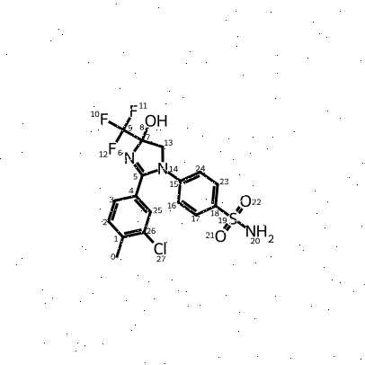 Cc1ccc(C2=NC(O)(C(F)(F)F)CN2c2ccc(S(N)(=O)=O)cc2)cc1Cl